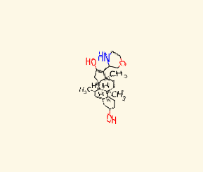 CC1C=C2CC(O)CC[C@]2(C)[C@@H]2CC[C@]3(C)C(C4COCCN4)=C(O)C[C@H]3[C@H]12